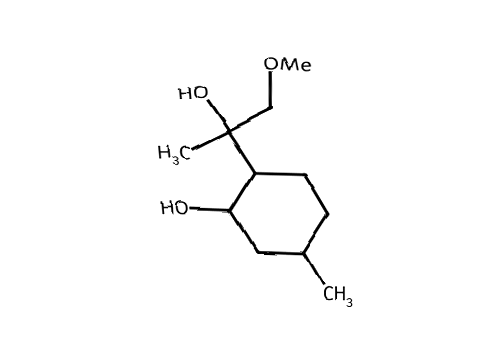 COCC(C)(O)C1CCC(C)CC1O